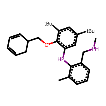 CPCc1cccc(C)c1Pc1cc(C(C)(C)C)cc(C(C)(C)C)c1OCC1C=CC=CC1